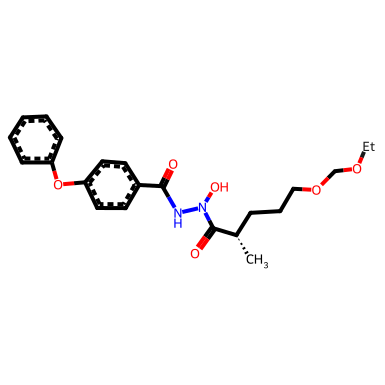 CCOCOCCC[C@H](C)C(=O)N(O)NC(=O)c1ccc(Oc2ccccc2)cc1